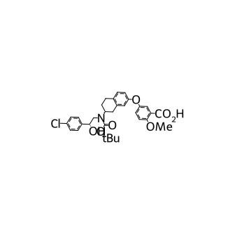 COc1ccc(Oc2ccc3c(c2)C[C@@H](N(C[C@H](O)c2ccc(Cl)cc2)C(=O)OC(C)(C)C)CC3)cc1C(=O)O